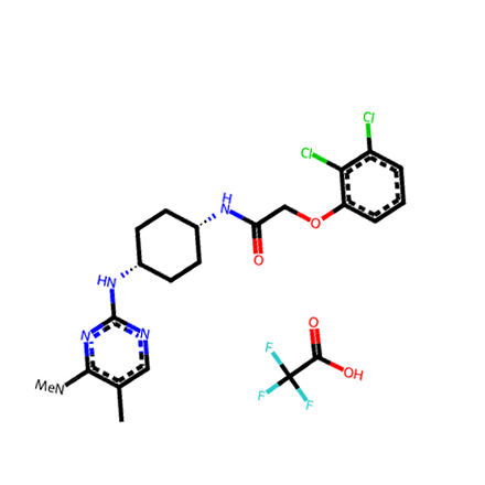 CNc1nc(N[C@H]2CC[C@@H](NC(=O)COc3cccc(Cl)c3Cl)CC2)ncc1C.O=C(O)C(F)(F)F